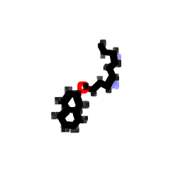 CC/C=C\C/C=C\CCOc1ccc2ccccc2c1